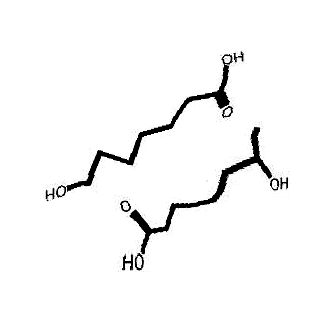 CC(O)CCCCC(=O)O.O=C(O)CCCCCCO